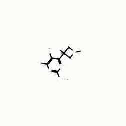 CSc1nc(N)c([N+](=O)[O-])c(C2(C(=O)O)CN(C(=O)O)C2)n1